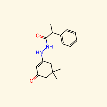 CC(C(=O)NNC1=CC(=O)CC(C)(C)C1)c1ccccc1